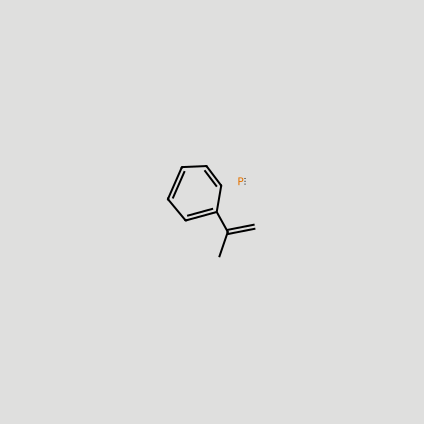 C=C(C)c1ccccc1.[P]